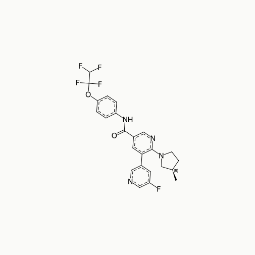 C[C@@H]1CCN(c2ncc(C(=O)Nc3ccc(OC(F)(F)C(F)F)cc3)cc2-c2cncc(F)c2)C1